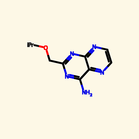 CC(C)OCc1nc(N)c2nccnc2n1